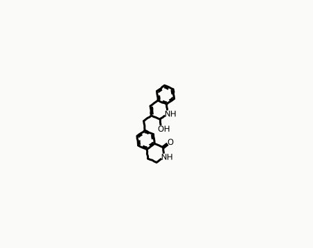 O=C1NCCc2ccc(CC3=Cc4ccccc4NC3O)cc21